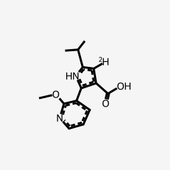 [2H]c1c(C(C)C)[nH]c(-c2cccnc2OC)c1C(=O)O